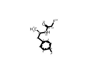 C[C@H](Cc1ccc(I)cc1)NC(=O)CF